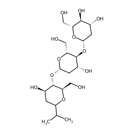 CC(C)C1C[C@@H](O)[C@H](O[C@H]2C[C@@H](O)[C@H](O[C@H]3C[C@@H](O)[C@H](O)[C@@H](CO)O3)[C@@H](CO)O2)[C@@H](CO)O1